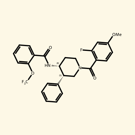 COc1ccc(C(=O)N2CC[C@@H](NC(=O)c3ccccc3OC(F)(F)F)[C@@H](c3ccccc3)C2)c(F)c1